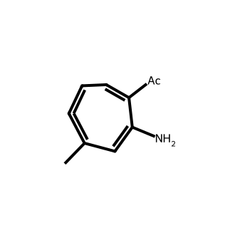 CC(=O)C1=CC=C=C(C)C=C1N